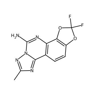 Cc1nc2c3ccc4c(c3nc(N)n2n1)OC(F)(F)O4